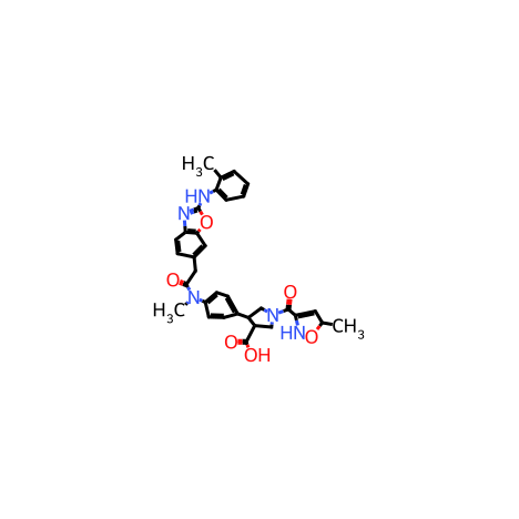 Cc1ccccc1Nc1nc2ccc(CC(=O)N(C)c3ccc(C4CN(C(=O)C5=CC(C)ON5)CC4C(=O)O)cc3)cc2o1